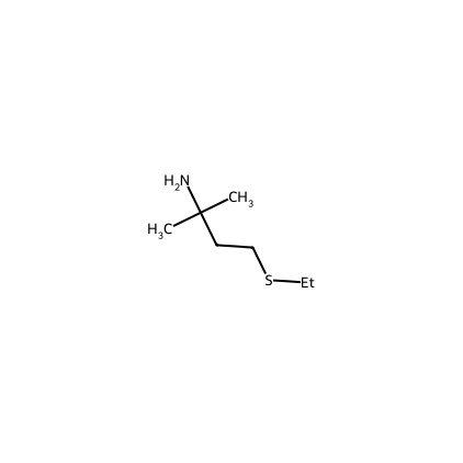 CCSCCC(C)(C)N